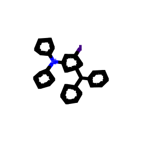 Ic1cc(C(c2ccccc2)c2ccccc2)cc(N(c2ccccc2)c2ccccc2)c1